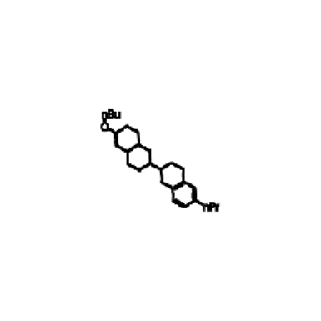 CCCCOC1CCC2CC(C3CCc4cc(CCC)ccc4C3)CCC2C1